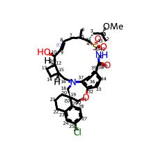 CO[C@H](C)C[C@H]1C(C)C/C=C/C(O)[C@@H]2CC[C@H]2CN2C[C@@]3(CCCc4cc(Cl)ccc43)COc3ccc(cc32)C(=O)NS1(=O)=O